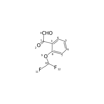 O=CC(=O)c1ccccc1OC(F)F